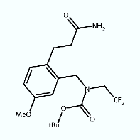 COc1ccc(CCC(N)=O)c(CN(CC(F)(F)F)C(=O)OC(C)(C)C)c1